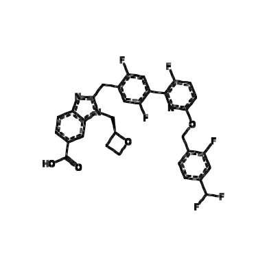 O=C(O)c1ccc2nc(Cc3cc(F)c(-c4nc(OCc5ccc(C(F)F)cc5F)ccc4F)cc3F)n(C[C@@H]3CCO3)c2c1